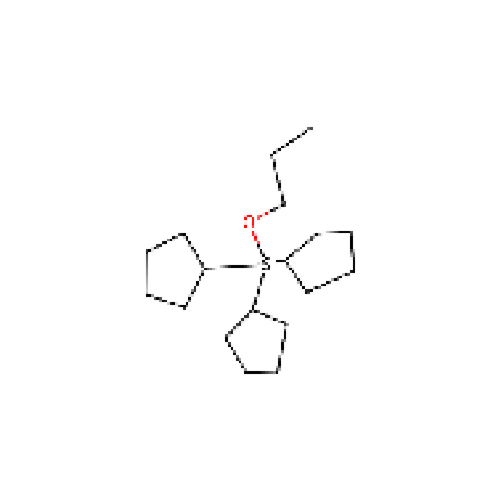 CCCO[Si](C1CCCC1)(C1CCCC1)C1CCCC1